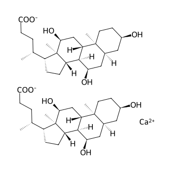 C[C@H](CCC(=O)[O-])[C@H]1CC[C@H]2[C@@H]3[C@H](O)C[C@@H]4C[C@H](O)CC[C@]4(C)[C@H]3C[C@H](O)[C@]12C.C[C@H](CCC(=O)[O-])[C@H]1CC[C@H]2[C@@H]3[C@H](O)C[C@@H]4C[C@H](O)CC[C@]4(C)[C@H]3C[C@H](O)[C@]12C.[Ca+2]